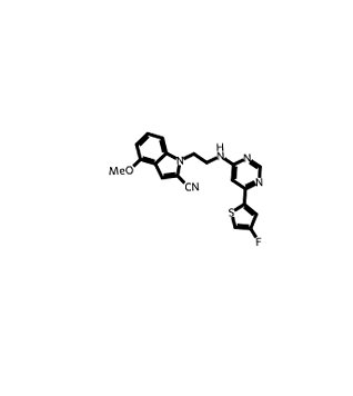 COc1cccc2c1cc(C#N)n2CCNc1cc(-c2cc(F)cs2)ncn1